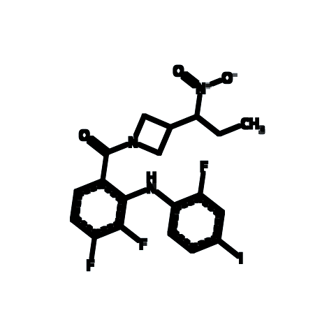 CCC(C1CN(C(=O)c2ccc(F)c(F)c2Nc2ccc(I)cc2F)C1)[N+](=O)[O-]